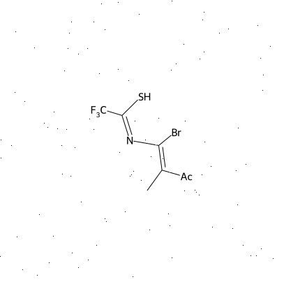 CC(=O)/C(C)=C(Br)/N=C(\S)C(F)(F)F